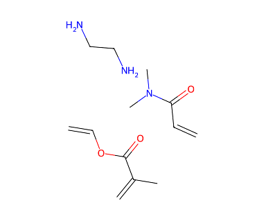 C=CC(=O)N(C)C.C=COC(=O)C(=C)C.NCCN